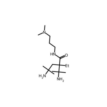 CCC(CC(C)(C)N)(C(=O)NCCCN(C)C)C(C)(C)N